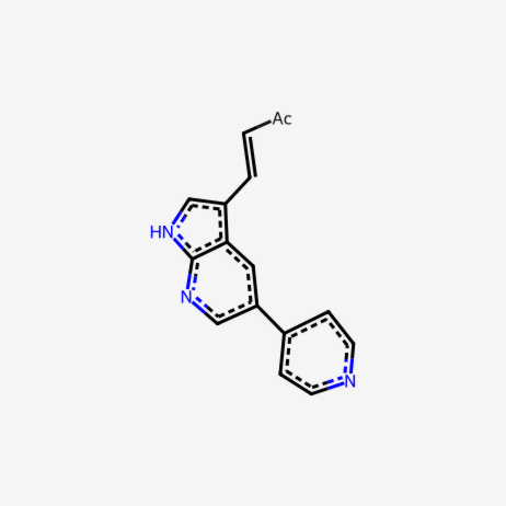 CC(=O)/C=C/c1c[nH]c2ncc(-c3ccncc3)cc12